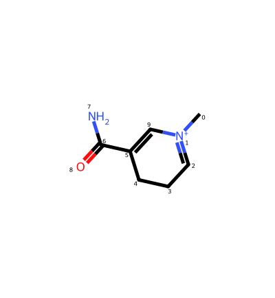 C[N+]1=CCCC(C(N)=O)=C1